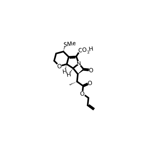 C=CCOC(=O)[C@H](C)[C@@H]1C(=O)N2C(C(=O)O)=C3[C@@H](SC)CCO[C@@H]3[C@H]12